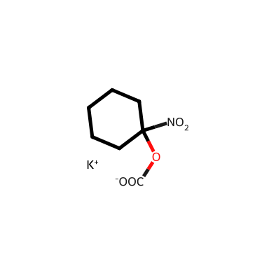 O=C([O-])OC1([N+](=O)[O-])CCCCC1.[K+]